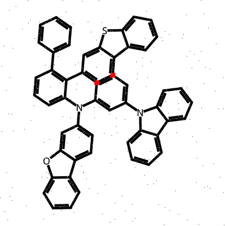 c1ccc(-c2cccc(N(c3cccc(-n4c5ccccc5c5ccccc54)c3)c3ccc4c(c3)oc3ccccc34)c2-c2ccc3c(c2)sc2ccccc23)cc1